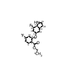 CCOC(=O)c1ccc(F)cc1Oc1cc(F)c2[nH]ccc2c1